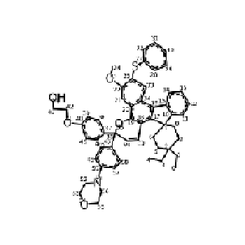 CCC1(CC)CCC2(CC1)c1ccccc1-c1c2c2c(c3cc(OC)c(Sc4ccccc4)cc13)OC(c1ccc(OCCO)cc1)(c1ccc(N3CCOCC3)cc1)C=C2